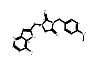 COc1ccc(CN2C(=O)CN(Cc3cc4nccc(Cl)c4s3)C2=O)cc1